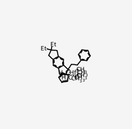 CCC1(CC)Cc2cc3c(cc2C1)[C](CCc1ccccc1)([Hf]([CH3])([CH3])([CH3])([CH3])([CH3])([CH3])([CH3])[CH]1C=CC=C1)C=C3